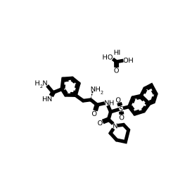 I.N=C(N)c1cccc(C[C@H](N)C(=O)NC(C(=O)N2CCCCC2)S(=O)(=O)c2ccc3ccccc3c2)c1.O=C(O)O